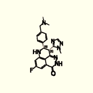 CN(C)Cc1ccc([C@H]2Nc3cc(F)cc4c(=O)[nH]nc(c34)[C@H]2c2ncnn2C)cc1